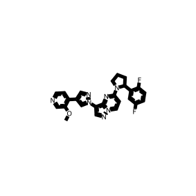 COc1cnccc1-c1cnn(-c2cnn3ccc(N4CCCC4c4cc(F)ccc4F)nc23)c1